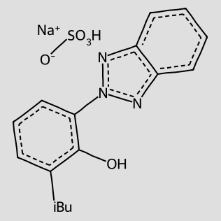 CCC(C)c1cccc(-n2nc3ccccc3n2)c1O.O=S(=O)([O-])O.[Na+]